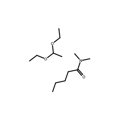 CCCCC(=O)N(C)C.CCOC(C)OCC